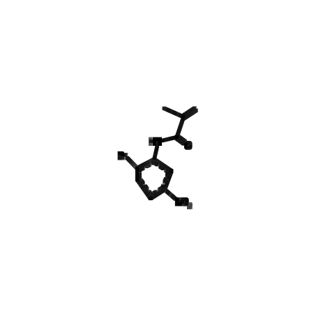 C=C(C)C(=O)Nc1cc([N+](=O)[O-])ccc1Br